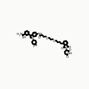 NC(S)c1cccc(-c2cn(C3CCC(F)(F)CC3)c3cc(NC(=O)CCCOCCCOCCCCc4cccc5c4C(=O)N(C4CCC(=O)NC4=O)C5=O)ccc23)c1